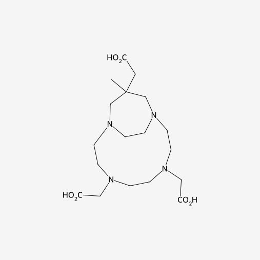 CC1(CC(=O)O)CN2CCN(CC(=O)O)CCN(CC(=O)O)CCN(CC2)C1